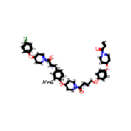 C=CC(=O)N1CCC(Oc2ccc(OC/C=C/C(=O)N3CCC(Oc4ccc(/C=C/C(=O)N5CCC(Oc6ccc(Cl)cc6)CC5)cc4OC)CC3)cc2)CC1